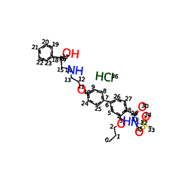 CCCOc1cc(-c2ccc(OCCNC[C@@H](O)c3ccccc3)cc2)ccc1C(=O)NS(C)(=O)=O.Cl